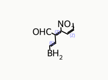 B/C=C/C(C=O)=C(\C=C/C)[N+](=O)[O-]